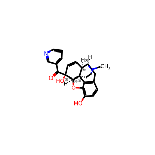 CN1CC[C@]23c4c5ccc(O)c4O[C@H]2[C@](O)(C(=O)c2cccnc2)C=C[C@H]3[C@H]1C5